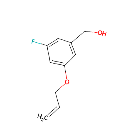 C=CCOc1cc(F)cc(CO)c1